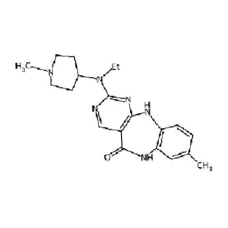 CCN(c1ncc2c(n1)Nc1ccc(C)cc1NC2=O)C1CCN(C)CC1